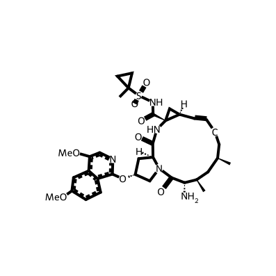 COc1ccc2c(O[C@@H]3C[C@H]4C(=O)N[C@]5(C(=O)NS(=O)(=O)C6(C)CC6)C[C@H]5C=CCC[C@@H](C)C[C@@H](C)[C@H](N)C(=O)N4C3)ncc(OC)c2c1